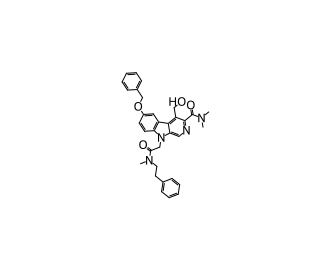 CN(C)C(=O)c1ncc2c(c1CO)c1cc(OCc3ccccc3)ccc1n2CC(=O)N(C)CCc1ccccc1